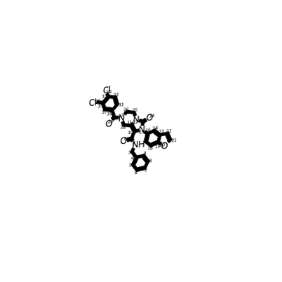 O=C(NCc1ccccc1)c1c2n(c(=O)n1-c1ccc3occc3c1)CCN(C(=O)c1ccc(Cl)c(Cl)c1)C2